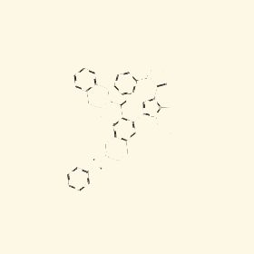 Cc1c(C(=O)N(C)c2ccccc2)cc(-c2cc3c(cc2C(=O)N2Cc4ccccc4C[C@H]2C)CN(S(=O)(=O)c2ccccc2)CC3)n1C